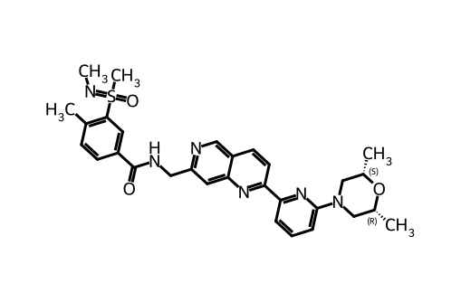 CN=S(C)(=O)c1cc(C(=O)NCc2cc3nc(-c4cccc(N5C[C@@H](C)O[C@@H](C)C5)n4)ccc3cn2)ccc1C